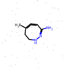 BC1=C=C/C(N)=N\NCC1